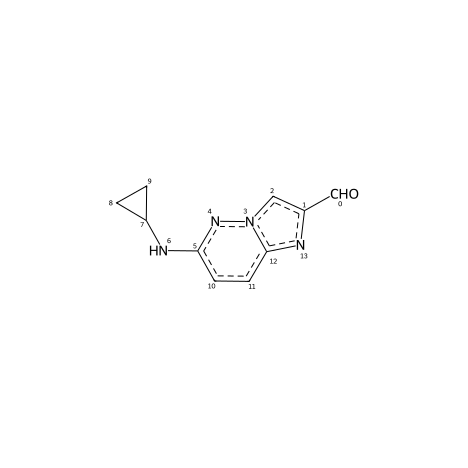 O=Cc1cn2nc(NC3CC3)ccc2n1